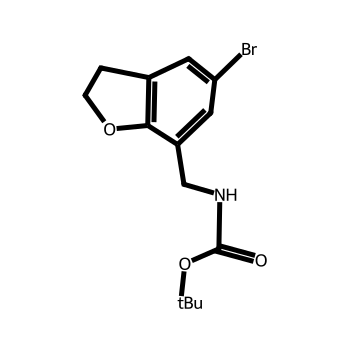 CC(C)(C)OC(=O)NCc1cc(Br)cc2c1OCC2